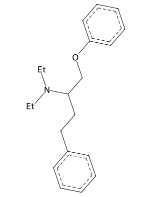 CCN(CC)C(CCc1ccccc1)COc1ccccc1